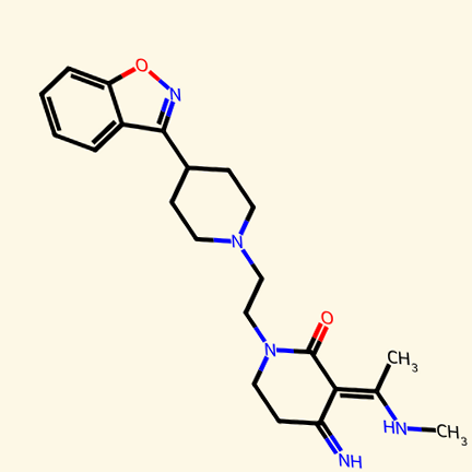 CN/C(C)=C1\C(=N)CCN(CCN2CCC(c3noc4ccccc34)CC2)C1=O